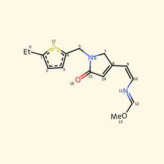 CCc1ccc(CN2CC(/C=C\N=C\OC)=CC2=O)s1